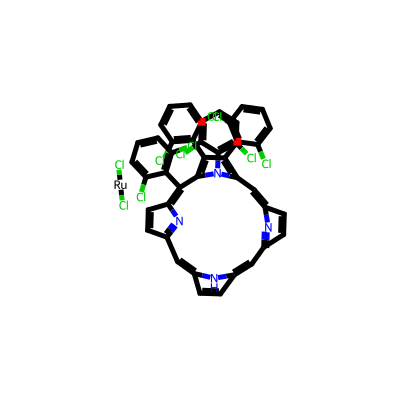 Clc1cccc(Cl)c1-c1c(-c2c(Cl)cccc2Cl)c2c(-c3c(Cl)cccc3Cl)c3nc(cc4ccc(cc5nc(cc1n2-c1c(Cl)cccc1Cl)C=C5)[nH]4)C=C3.[Cl][Ru][Cl]